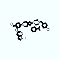 CC(C)c1ccccc1[C@H]1CN(Cc2ccc(Cl)cc2)CCN1C1CC2(CCN(c3ccc(C=O)c(Oc4cnc5[nH]ccc5c4)c3)CC2)C1